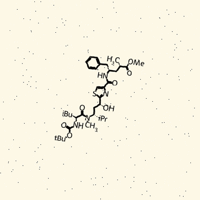 CC[C@H](C)[C@H](NC(=O)OC(C)(C)C)C(=O)N(C)[C@H](C[C@@H](O)c1nc(C(=O)N[C@@H](Cc2ccccc2)C[C@H](C)C(=O)OC)cs1)C(C)C